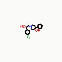 C[C@@H]([C@@H](O)c1ccc(Cl)cc1)N1CCC(O)(c2ccccc2)CC1